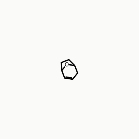 C1=CC2CCC(C1)O2